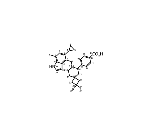 Cc1cc(C2CC2)c(CN2CCC3(CC2c2ccc(C(=O)O)cc2)CC(F)(F)C3)c2cc[nH]c12